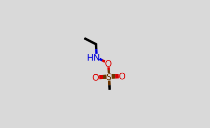 CCNOS(C)(=O)=O